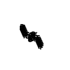 O=[N+]([O-])c1cc(OC(F)=C(F)C(F)(F)C(F)(F)C(F)(F)C(F)(F)C(F)(F)C(F)(F)C(F)(F)F)ccc1-c1ccc(OC(F)=C(F)C(F)(F)C(F)(F)C(F)(F)C(F)(F)C(F)(F)C(F)(F)C(F)(F)F)cc1[N+](=O)[O-]